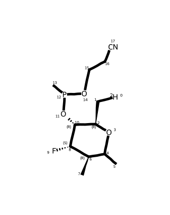 [2H]C[C@H]1OC(C)[C@@H](C)[C@H](F)[C@@H]1OP(C)OCCC#N